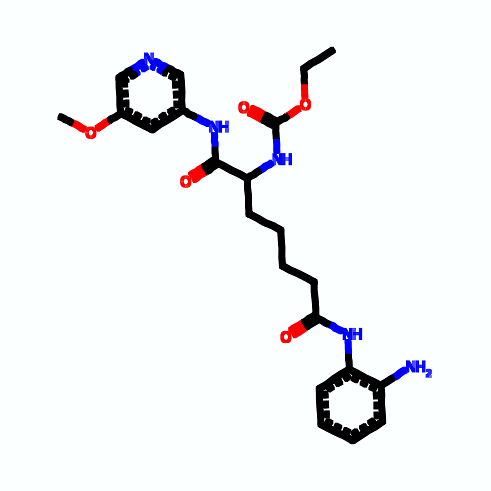 CCOC(=O)NC(CCCCC(=O)Nc1ccccc1N)C(=O)Nc1cncc(OC)c1